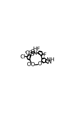 COc1c(Cl)cc2cc1S(=O)(=O)Nc1cc(c(F)cc1F)-c1cc3[nH]ncc3cc1OCCOC2=O